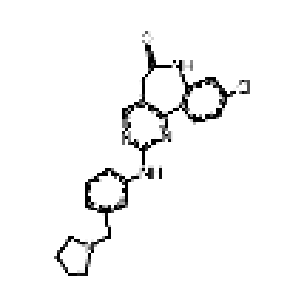 O=C1Cc2cnc(Nc3cccc(CN4CCCC4)c3)nc2-c2ccc(Cl)cc2N1